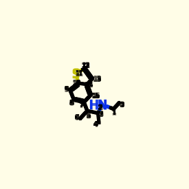 CCNC(C)C(C)c1ccc2sccc2c1